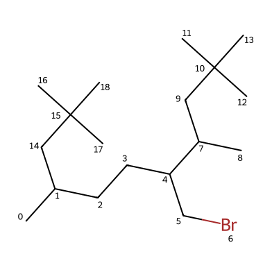 CC(CCC(CBr)C(C)CC(C)(C)C)CC(C)(C)C